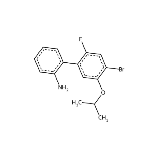 CC(C)Oc1cc(-c2ccccc2N)c(F)cc1Br